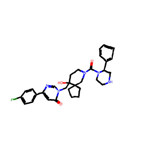 O=C(N1CCC(O)(Cn2cnc(-c3ccc(F)cc3)cc2=O)C2(CCCC2)C1)N1CCNCC1c1ccccc1